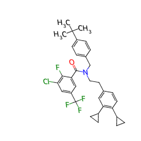 CC(C)(C)c1ccc(CN(CCc2ccc(C3CC3)c(C3CC3)c2)C(=O)c2cc(C(F)(F)F)cc(Cl)c2F)cc1